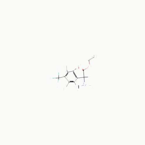 [2H]COC(=O)C([2H])(c1c([2H])c([2H])c(C(F)(F)F)c([2H])c1[2H])N([2H])[2H]